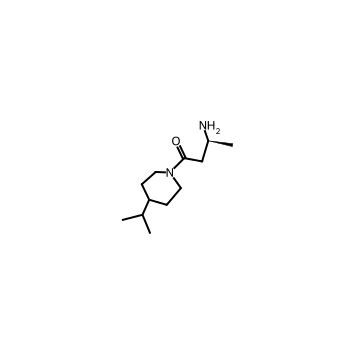 CC(C)C1CCN(C(=O)C[C@H](C)N)CC1